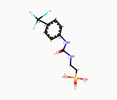 O=C(NCCP(=O)(O)O)Nc1ccc(C(F)(F)F)cc1